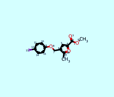 COC(=O)c1cc(COc2ccc(I)cc2)c(C)o1